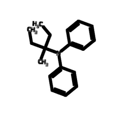 CCC(C)(CC)N(c1ccccc1)c1ccccc1